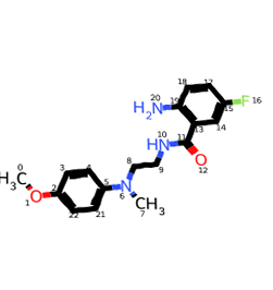 COc1ccc(N(C)CCNC(=O)c2cc(F)ccc2N)cc1